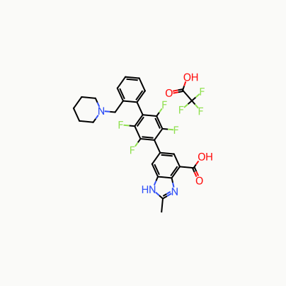 Cc1nc2c(C(=O)O)cc(-c3c(F)c(F)c(-c4ccccc4CN4CCCCC4)c(F)c3F)cc2[nH]1.O=C(O)C(F)(F)F